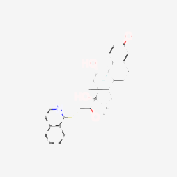 C[C@@H]1CC2C3CCC4=CC(=O)C=CC4(C)[C@@]3(F)[C@@H](O)CC2(C)[C@@]1(O)C(=O)CSc1nccc2ccccc12